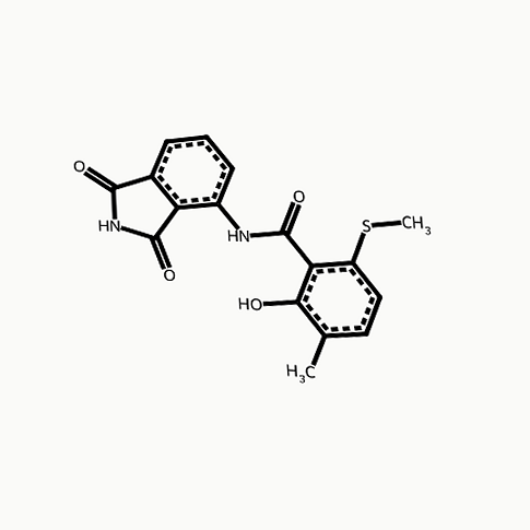 CSc1ccc(C)c(O)c1C(=O)Nc1cccc2c1C(=O)NC2=O